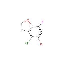 Clc1c(Br)cc(I)c2c1CCO2